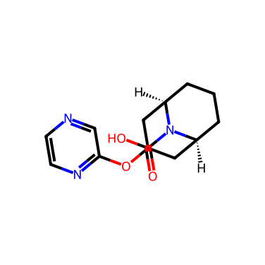 O=C(O)N1[C@@H]2CCC[C@H]1CC(Oc1cnccn1)C2